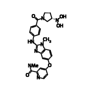 CNC(=O)c1cc(Oc2ccc3c(c2)nc(Nc2ccc(C(=O)N4CC[C@H](N(O)O)C4)cc2)n3C)ccn1